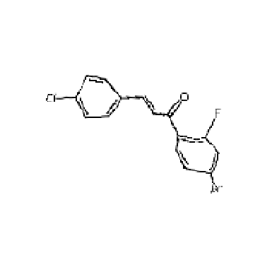 O=C(/C=C/c1ccc(Cl)cc1)c1ccc(Br)cc1F